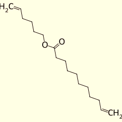 C=CCCCCCCCCC(=O)OCCCCC=C